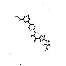 C=C(C(=O)Nc1ccc(-c2cncc(OCC)n2)cc1)c1csc(NS(=O)(=O)C2CC2)n1